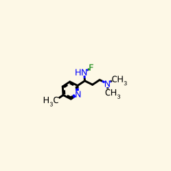 Cc1ccc(C(CCN(C)C)NF)nc1